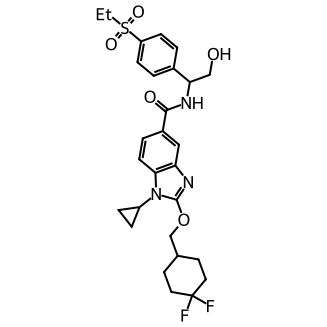 CCS(=O)(=O)c1ccc(C(CO)NC(=O)c2ccc3c(c2)nc(OCC2CCC(F)(F)CC2)n3C2CC2)cc1